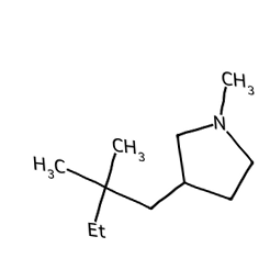 CCC(C)(C)CC1CCN(C)C1